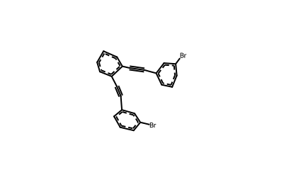 Brc1cccc(C#Cc2ccccc2C#Cc2cccc(Br)c2)c1